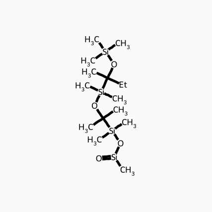 CCC(C)(O[Si](C)(C)C)[Si](C)(C)OC(C)(C)[Si](C)(C)O[Si](C)=O